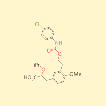 COc1ccc(CC(OC(C)C)C(=O)O)cc1CCOC(=O)Nc1ccc(Cl)cc1